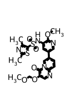 COCOc1cnc2ccc(-c3cnc(OC)c(NS(=O)(=O)c4sc(C)nc4C)c3)cn2c1=O